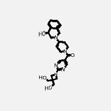 O=C(c1cnc(N2CC(CO)(CO)C2)nc1)N1CCC(N2Cc3ccccc3C(O)C2)CC1